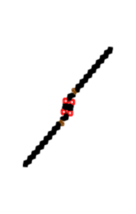 CCCCCCCCCCCCCCCCCCSCCC1OCC2(CO1)COC(CCSCCCCCCCCCCCCCCCCCC)OC2